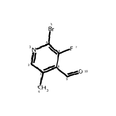 Cc1cnc(Br)c(F)c1C=O